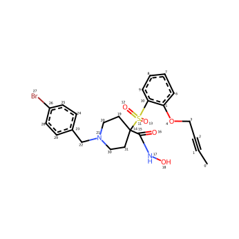 CC#CCOc1ccccc1S(=O)(=O)C1(C(=O)NO)CCN(Cc2ccc(Br)cc2)CC1